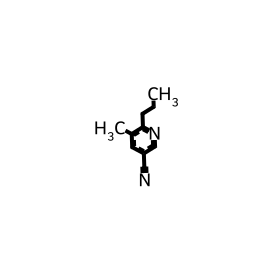 CCCc1ncc(C#N)cc1C